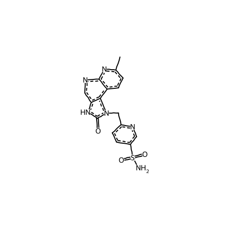 Cc1ccc2c(ncc3[nH]c(=O)n(Cc4ccc(S(N)(=O)=O)cn4)c32)n1